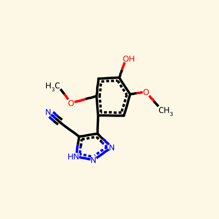 COc1cc(-c2nn[nH]c2C#N)c(OC)cc1O